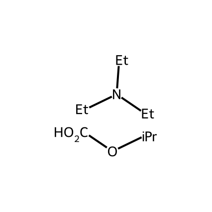 CC(C)OC(=O)O.CCN(CC)CC